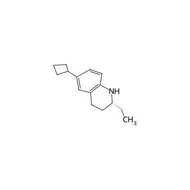 CC[C@@H]1CCc2cc(C3CCC3)ccc2N1